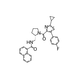 O=C(NC[C@@H]1CCCN1C(=O)c1nc(C2CC2)sc1-c1ccc(F)cc1)c1cccc2ccccc12